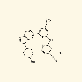 Cl.N#Cc1ccnc(Nc2cc(C3CC3)cc(-c3ccc4ncn(C5CCC(O)CC5)c4c3)n2)c1